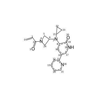 C=CC(=O)N1CC(N(c2cc(-c3ccccn3)c[nH]c2=O)C2CC2)C1